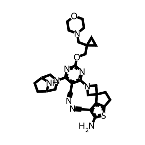 N#Cc1c(N2CC3CCC(C2)N3)nc(OCC2(CN3CCOCC3)CC2)nc1N1CC2(CCc3sc(N)c(C#N)c32)C1